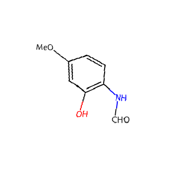 COc1ccc(NC=O)c(O)c1